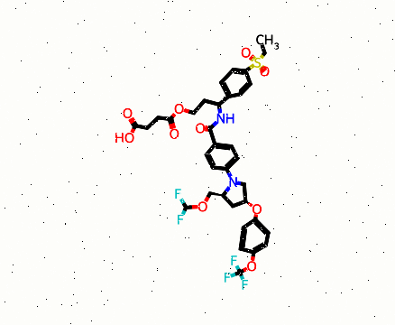 CCS(=O)(=O)c1ccc(C(CCOC(=O)CCC(=O)O)NC(=O)c2ccc(N3C[C@@H](Oc4ccc(OC(F)(F)F)cc4)C[C@H]3COC(F)F)cc2)cc1